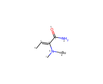 C/C=C(/C(N)=O)N(C)CCCC